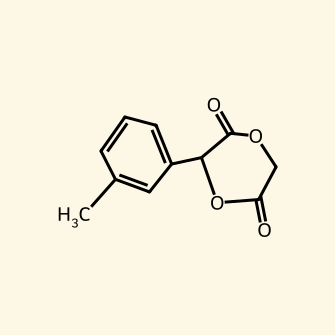 Cc1cccc(C2OC(=O)COC2=O)c1